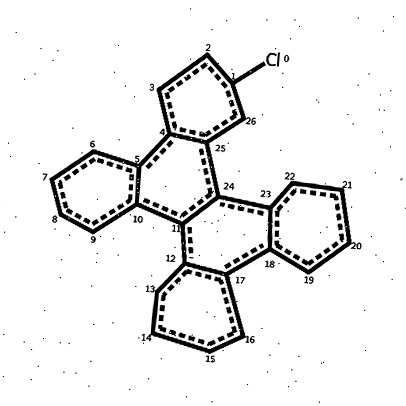 Clc1ccc2c3ccccc3c3c4ccccc4c4ccccc4c3c2c1